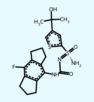 CC(C)(O)c1csc([S@@](N)(=O)=NC(=O)Nc2c3c(c(F)c4c2CCC4)CCC3)c1